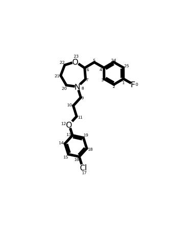 Fc1ccc(CC2CN(CCCOc3ccc(Cl)cc3)CCCO2)cc1